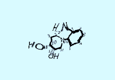 Nc1ccccc1N1CC[C@@H](O)[C@@H](O)C1